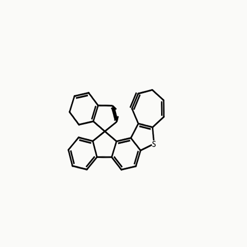 C1#Cc2c(sc3ccc4c(c23)C2(C3=C(C=CCC3)c3ccccc32)c2ccccc2-4)C=CC1